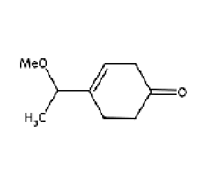 COC(C)C1=CCC(=O)CC1